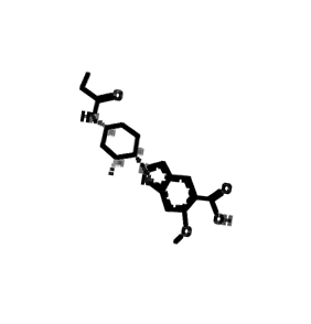 CCC(=O)N[C@@H]1CC[C@H](n2cc3cc(C(=O)O)c(OC)cc3n2)[C@H](C)C1